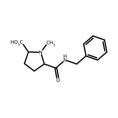 CN1C(C(=O)O)CCC1C(=O)NCc1ccccc1